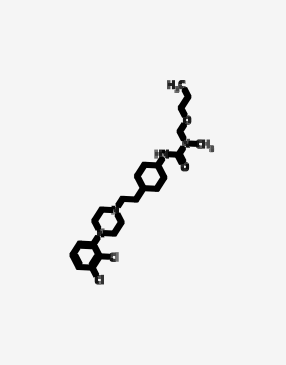 CCCOCN(C)C(=O)NC1CCC(CCN2CCN(c3cccc(Cl)c3Cl)CC2)CC1